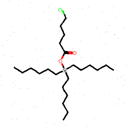 CCCCCC[Si](CCCCCC)(CCCCCC)OC(=O)CCCCCl